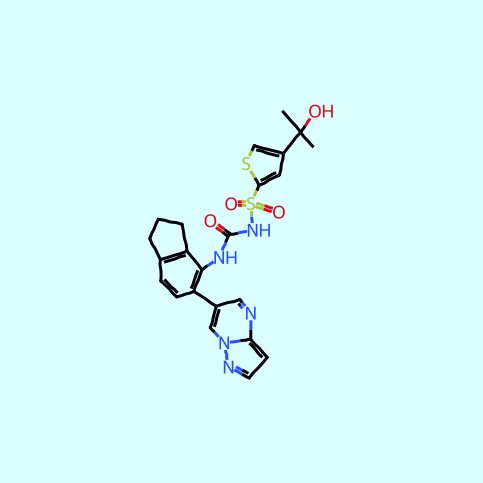 CC(C)(O)c1csc(S(=O)(=O)NC(=O)Nc2c(-c3cnc4ccnn4c3)ccc3c2CCC3)c1